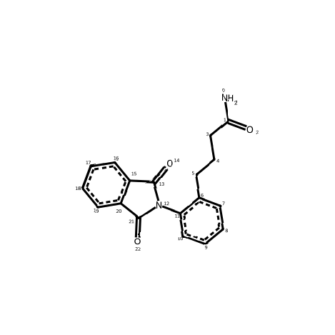 NC(=O)CCCc1ccccc1N1C(=O)c2ccccc2C1=O